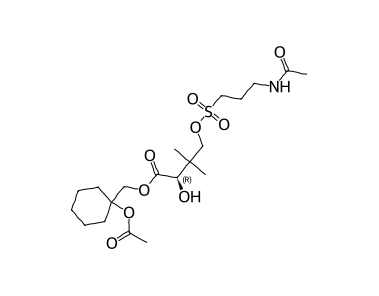 CC(=O)NCCCS(=O)(=O)OCC(C)(C)[C@@H](O)C(=O)OCC1(OC(C)=O)CCCCC1